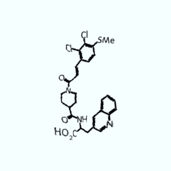 CSc1ccc(C=CC(=O)N2CCC(C(=O)NC(Cc3cnc4ccccc4c3)C(=O)O)CC2)c(Cl)c1Cl